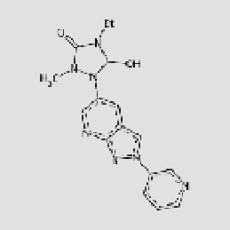 CCN1C(=O)N(C)N(c2cnc3nn(-c4cccnc4)cc3c2)C1O